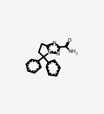 NC(=O)c1nc2n(n1)C(c1ccccc1)(c1ccccc1)CC2